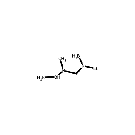 BBN(C)CN(B)CC